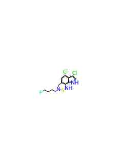 FCCCCN1Cc2cc(Cl)c3c(Cl)c[nH]c3c2NS1